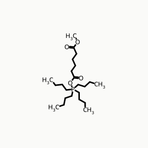 CCCCP(CCCC)(CCCC)(CCCC)OC(=O)CCCCC(=O)OC